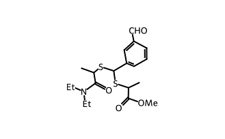 CCN(CC)C(=O)C(C)SC(SC(C)C(=O)OC)c1cccc(C=O)c1